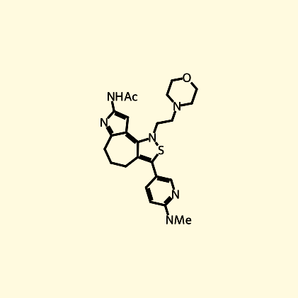 CNc1ccc(C2=C3CCCC4=NC(NC(C)=O)=CC4=C3N(CCN3CCOCC3)S2)cn1